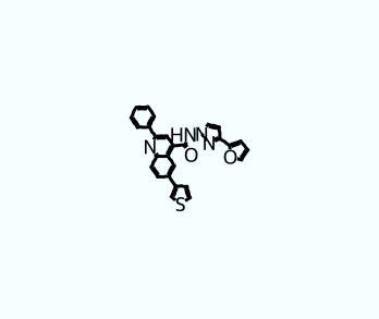 O=C(Nn1ccc(-c2ccco2)n1)c1cc(-c2ccccc2)nc2ccc(-c3ccsc3)cc12